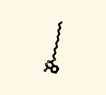 CCCCCCCCCCCCOC(=O)c1ccccc1[N+](=O)[O-]